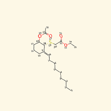 CCCCCCCCC=C1CCCC(OC(C)=O)[C@@H]1SCC(=O)OCC